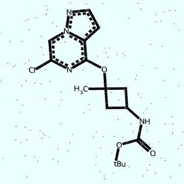 CC(C)(C)OC(=O)NC1CC(C)(Oc2nc(Cl)cn3nccc23)C1